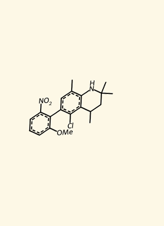 COc1cccc([N+](=O)[O-])c1-c1cc(C)c2c(c1Cl)C(C)CC(C)(C)N2